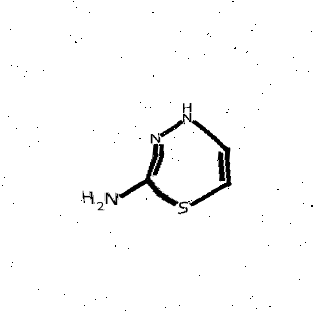 NC1=NNC=CS1